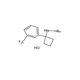 CCCCNC1(c2cccc(C(F)(F)F)c2)CCC1.Cl